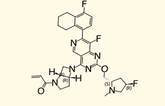 C=CC(=O)N1CC[C@@H]2[C@H]1CN2c1nc(OC[C@@H]2C[C@@H](F)CN2C)nc2c(F)c(-c3ccc(F)c4c3CCCC4)ncc12